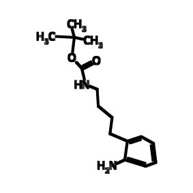 CC(C)(C)OC(=O)NCCCCc1ccccc1N